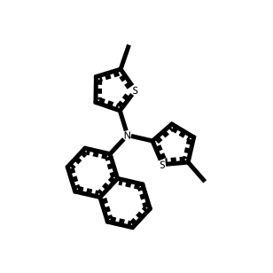 Cc1ccc(N(c2ccc(C)s2)c2cccc3ccccc23)s1